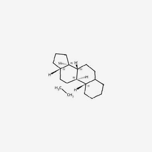 C1CC[C@H]2C(C1)CC[C@H]1[C@@H]3CCC[C@H]3CC[C@@H]12.CC